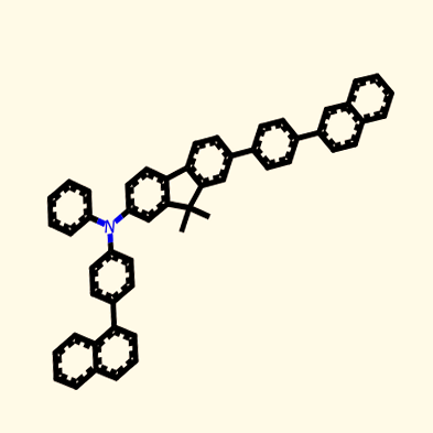 CC1(C)c2cc(-c3ccc(-c4ccc5ccccc5c4)cc3)ccc2-c2ccc(N(c3ccccc3)c3ccc(-c4cccc5ccccc45)cc3)cc21